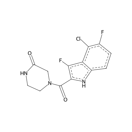 O=C1CN(C(=O)c2[nH]c3ccc(F)c(Cl)c3c2F)CCN1